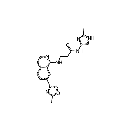 Cc1nc(NC(=O)CCNc2nccc3ccc(-c4noc(C)n4)cc23)c[nH]1